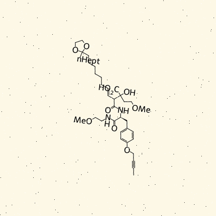 CC#CCOc1ccc(C[C@H](NC(=O)C(/C=C/CCCCCCC2(CCCCCCC)OCCO2)C(O)(CCOC)C(=O)O)C(=O)NCCOC)cc1